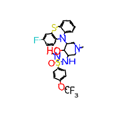 CN=S(=O)(NC1CN(C)CC(N2c3ccccc3Sc3cc(F)ccc32)C1O)c1ccc(OC(F)(F)F)cc1